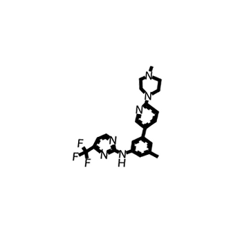 Cc1cc(Nc2nccc(C(F)(F)F)n2)cc(-c2ccc(N3CCN(C)CC3)nc2)c1